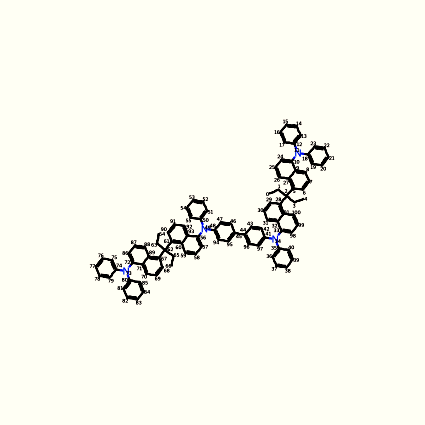 CCC(CC)(c1cccc2c(N(c3ccccc3)c3ccccc3)cccc12)c1cccc2c(N(c3ccccc3)c3ccc(-c4ccc(N(c5ccccc5)c5cccc6c(C(CC)(CC)c7cccc8c(N(c9ccccc9)c9ccccc9)cccc78)cccc56)cc4)cc3)cccc12